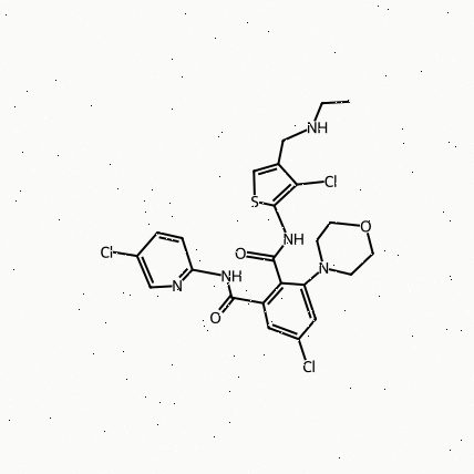 CCNCc1csc(NC(=O)c2c(C(=O)Nc3ccc(Cl)cn3)cc(Cl)cc2N2CCOCC2)c1Cl